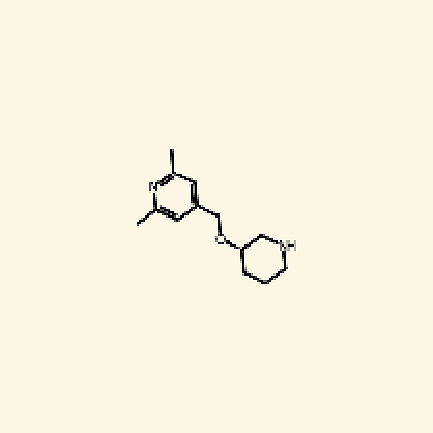 Cc1cc(CO[C@@H]2CCCNC2)cc(C)n1